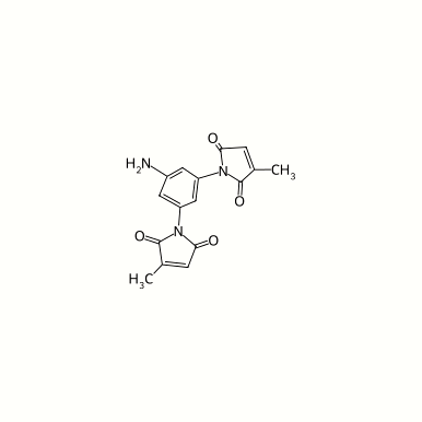 CC1=CC(=O)N(c2cc(N)cc(N3C(=O)C=C(C)C3=O)c2)C1=O